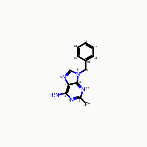 CCc1nc(N)c2ncn(Cc3ccccc3)c2n1